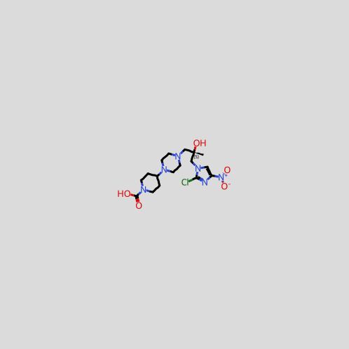 C[C@](O)(CN1CCN(C2CCN(C(=O)O)CC2)CC1)Cn1cc([N+](=O)[O-])nc1Cl